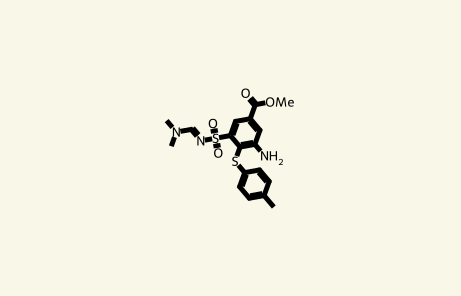 COC(=O)c1cc(N)c(Sc2ccc(C)cc2)c(S(=O)(=O)N=CN(C)C)c1